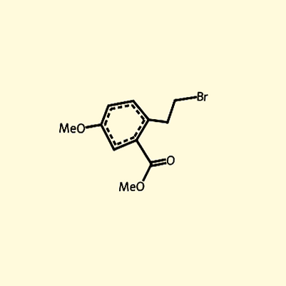 COC(=O)c1cc(OC)ccc1CCBr